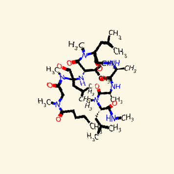 CCCCC(=O)N(C)CC(=O)N(C)C(C=O)(CC(C)C)N[C@H](C(=O)N(C)C(CC(C)C)C(=O)N[C@@H](C)C(=O)N[C@H](C)C(=O)N(C)[C@@H](CC(C)C)C(=O)NC)C(C)C